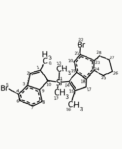 CC1=Cc2c(Br)cccc2C1[Si](C)(C)C1=C(C)Cc2c1cc(Br)c1c2CCCC1